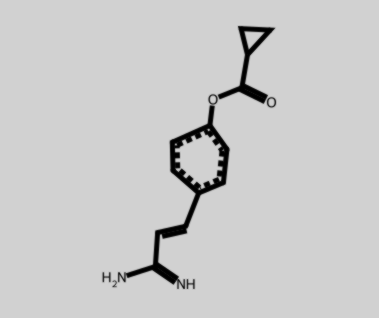 N=C(N)C=Cc1ccc(OC(=O)C2CC2)cc1